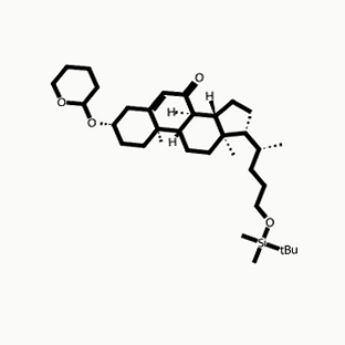 C[C@H](CCCO[Si](C)(C)C(C)(C)C)[C@H]1CC[C@H]2[C@@H]3C(=O)C=C4C[C@@H](OC5CCCCO5)CC[C@]4(C)[C@H]3CC[C@]12C